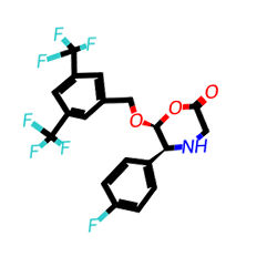 O=C1CN[C@@H](c2ccc(F)cc2)[C@@H](OCc2cc(C(F)(F)F)cc(C(F)(F)F)c2)O1